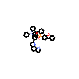 O=P(c1ccccc1)(c1ccc2c(c1)oc1ccccc12)c1ccccc1C1c2ccccc2N(c2ccccc2)c2cc(-c3ccc4ccc5cccnc5c4n3)ccc21